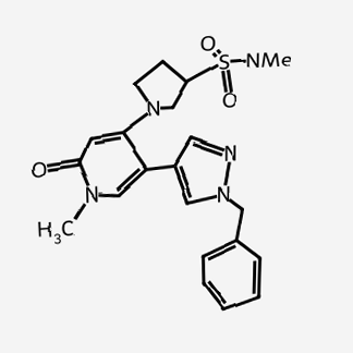 CNS(=O)(=O)C1CCN(c2cc(=O)n(C)cc2-c2cnn(Cc3ccccc3)c2)C1